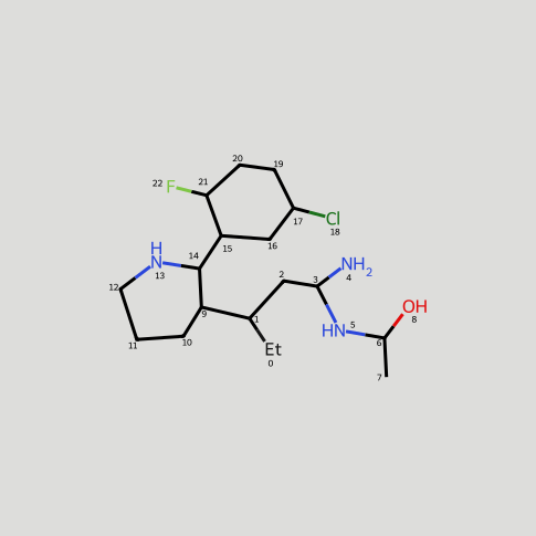 CCC(CC(N)NC(C)O)C1CCCNC1C1CC(Cl)CCC1F